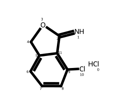 Cl.N=C1OCc2cccc(Cl)c21